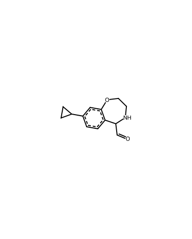 O=CC1NCCOc2cc(C3CC3)ccc21